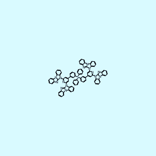 c1ccc(S(c2ccccc2)(c2cccc(-c3cc(-n4c5ccccc5n5c6ccccc6nc45)nc(-n4c5ccccc5n5c6ccccc6nc45)c3)c2)c2cccc(-c3cc(-n4c5ccccc5n5c6ccccc6nc45)nc(-n4c5ccccc5n5c6ccccc6nc45)c3)c2)cc1